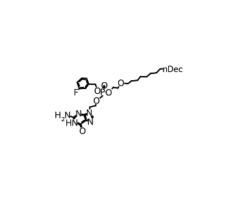 CCCCCCCCCCCCCCCCCCOCCOP(=O)(COCCn1cnc2c(=O)[nH]c(N)nc21)OCc1cccc(F)c1